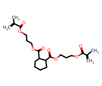 C=C(C)C(=O)OCCCOC(=O)C1CCCCC1C(=O)OCCCOC(=O)C(=C)C